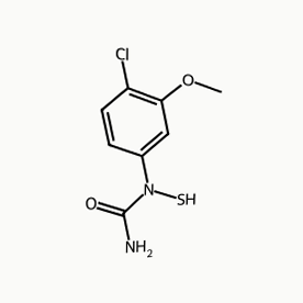 COc1cc(N(S)C(N)=O)ccc1Cl